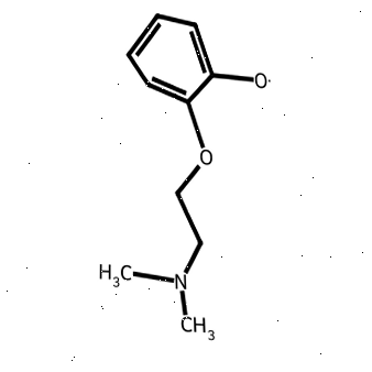 CN(C)CCOc1ccccc1[O]